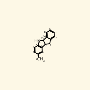 Cc1ccc2c(c1)C1Cc3ccccc3C1N2